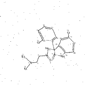 CCN(CC)CCC(=O)NC1(c2ccccc2Cl)C(=O)Nc2ccc(Cl)cc21